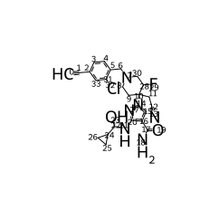 C#Cc1ccc(CN2CCC(CC#N)(n3cc(C(N)=O)c(NC(O)C4CC4)n3)C(F)C2)c(Cl)c1